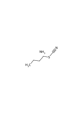 CCCCSC#N.N